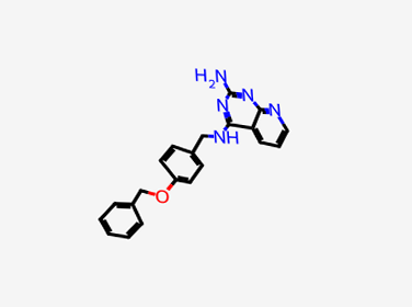 Nc1nc(NCc2ccc(OCc3ccccc3)cc2)c2cccnc2n1